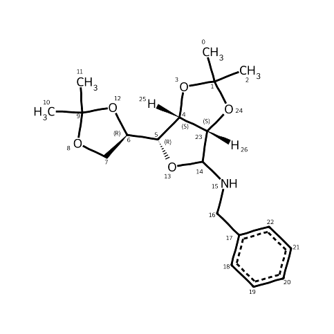 CC1(C)O[C@H]2[C@@H]([C@H]3COC(C)(C)O3)OC(NCc3ccccc3)[C@H]2O1